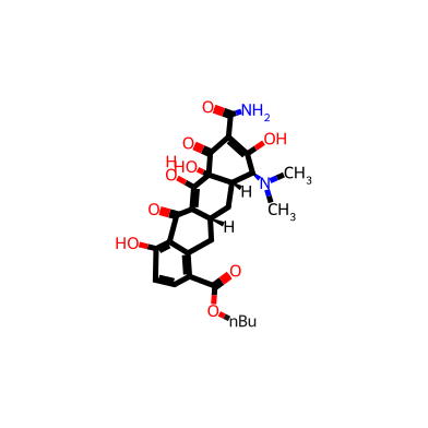 CCCCOC(=O)c1ccc(O)c2c1C[C@H]1C[C@H]3[C@H](N(C)C)C(O)=C(C(N)=O)C(=O)C3(O)C(O)=C1C2=O